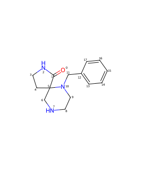 O=C1NCCC12CNCCN2Cc1ccccc1